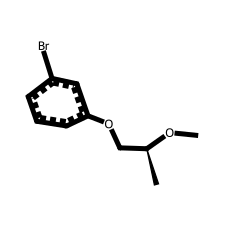 CO[C@@H](C)COc1cccc(Br)c1